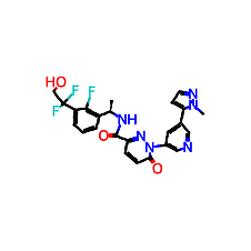 C[C@@H](NC(=O)c1ccc(=O)n(-c2cncc(-c3ccnn3C)c2)n1)c1cccc(C(F)(F)CO)c1F